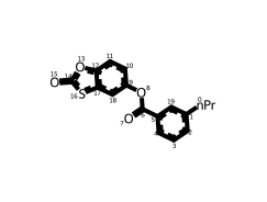 CCCc1cccc(C(=O)Oc2ccc3oc(=O)sc3c2)c1